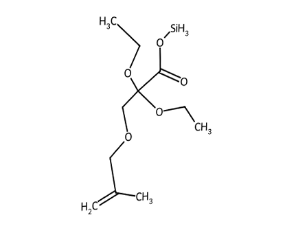 C=C(C)COCC(OCC)(OCC)C(=O)O[SiH3]